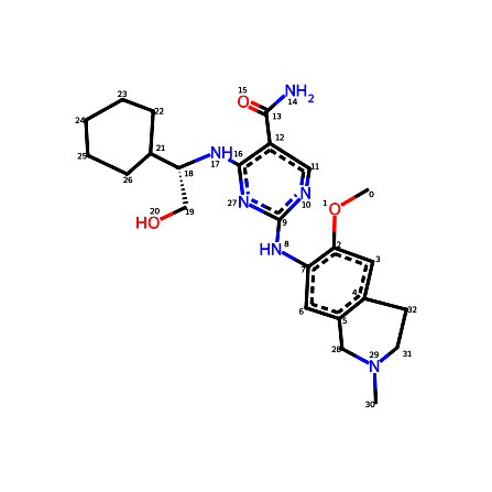 COc1cc2c(cc1Nc1ncc(C(N)=O)c(N[C@H](CO)C3CCCCC3)n1)CN(C)CC2